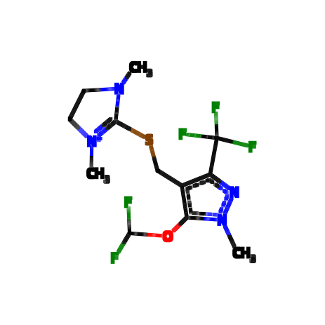 CN1CC[N+](C)=C1SCc1c(C(F)(F)F)nn(C)c1OC(F)F